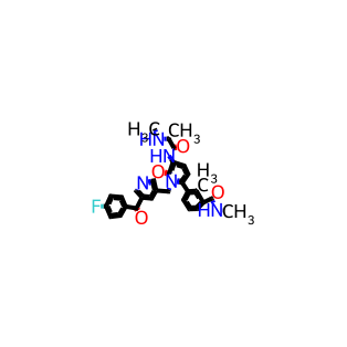 CNC(=O)c1cccc(-c2ccc(NC(=O)C(C)NC)c(=O)n2Cc2cncc(C(=O)c3ccc(F)cc3)c2)c1C